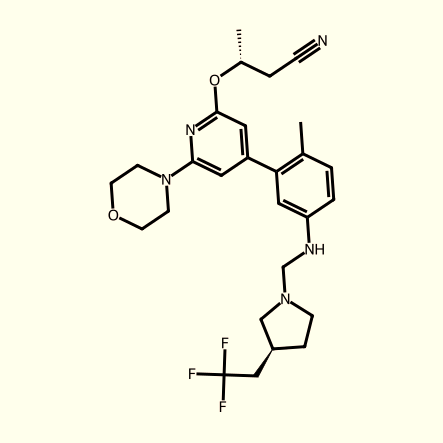 Cc1ccc(NCN2CC[C@@H](CC(F)(F)F)C2)cc1-c1cc(O[C@H](C)CC#N)nc(N2CCOCC2)c1